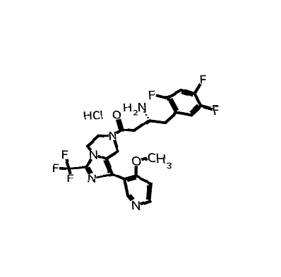 COc1ccncc1-c1nc(C(F)(F)F)n2c1CN(C(=O)C[C@H](N)Cc1cc(F)c(F)cc1F)CC2.Cl